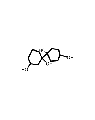 OC1CCC(O)(C2(O)CCCC(O)C2)CC1